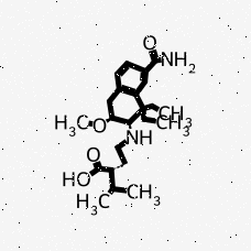 CCC1(CC)c2cc(C(N)=O)ccc2C[C@H](OC)[C@H]1NCC[C@@H](C(=O)O)C(C)C